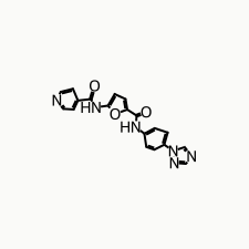 O=C(Nc1ccc(C(=O)Nc2ccc(-n3cncn3)cc2)o1)c1ccncc1